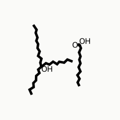 CCCCCCCCCCCC(=O)O.CCCCCCCCCCCC(O)(CCCCCCCC)CCCCCCCC